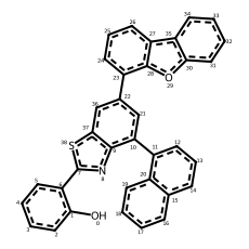 Oc1ccccc1-c1nc2c(-c3cccc4ccccc34)cc(-c3cccc4c3oc3ccccc34)cc2s1